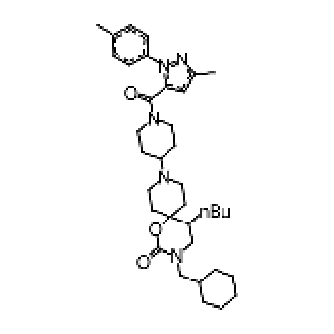 CCCCC1CN(CC2CCCCC2)C(=O)OC12CCN(C1CCN(C(=O)c3cc(C)nn3-c3ccc(C)cc3)CC1)CC2